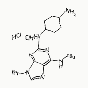 CCCCNc1nc(NC2CCC(N)CC2)nc2c1ncn2C(C)C.Cl.Cl